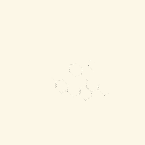 CNC(=O)c1cnc(Nc2ccc(F)cn2)cc1N[C@@H]1CCCC[C@@H]1C(N)=O